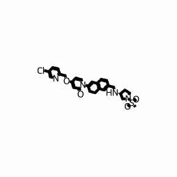 CS(=O)(=O)N1CC[C@@H](NCc2ccc3c(c2)CCC(n2ccc(OCc4ccc(Cl)cn4)cc2=O)=C3)C1